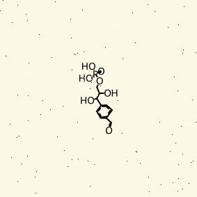 O=Cc1ccc(C(O)C(O)COP(=O)(O)O)cc1